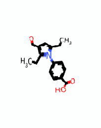 CCc1cc(C=O)c(CC)n1-c1ccc(C(=O)O)cc1